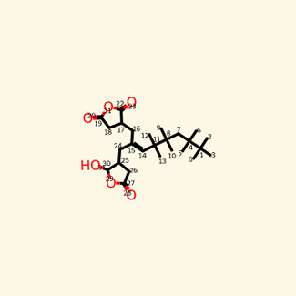 CC(C)(C)C(C)(C)CC(C)(C)C(C)(C)/C=C(\CC1CC(=O)OC1=O)CC1CC(=O)OC1O